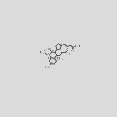 CCCCC1C(C2CC[C@H](CCCC(=O)O)C2)[C@H](O)[C@H](CC)[C@@H]2C[C@H](O)CC[C@]12C